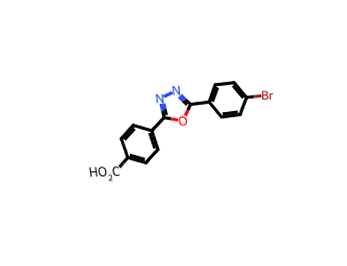 O=C(O)c1ccc(-c2nnc(-c3ccc(Br)cc3)o2)cc1